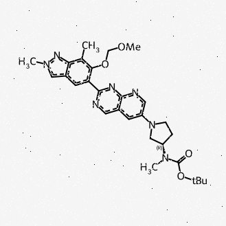 COCOc1c(-c2ncc3cc(N4CC[C@@H](N(C)C(=O)OC(C)(C)C)C4)cnc3n2)cc2cn(C)nc2c1C